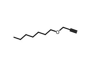 C#CCOCCCCCCC